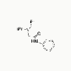 CCCN(CC(=O)Nc1ccccc1)CC(C)C